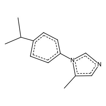 Cc1cncn1-c1ccc(C(C)C)cc1